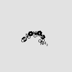 NC(=O)OC1CCN(c2cccc(C(=O)Nc3ccc4nc(N5CCOCC5)oc4c3)n2)C1